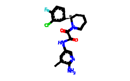 Cc1cc(NC(=O)C(=O)N2CCCC[C@H]2c2ccc(F)c(Cl)c2)cnc1N